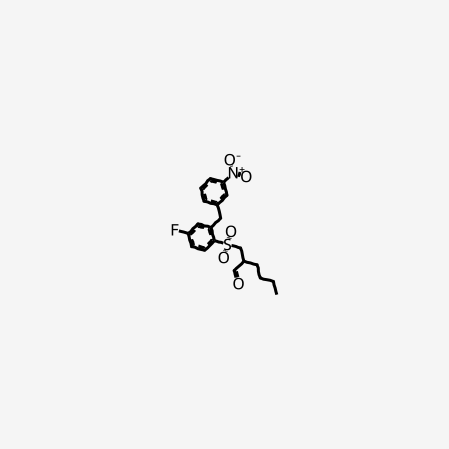 CCCCC(C=O)CS(=O)(=O)c1ccc(F)cc1Cc1cccc([N+](=O)[O-])c1